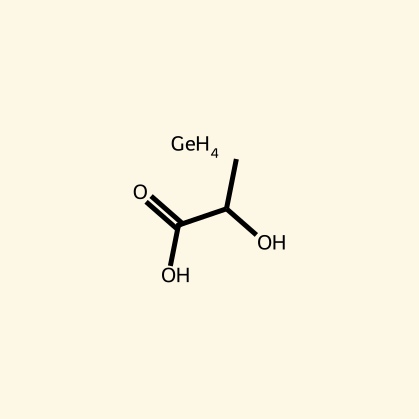 CC(O)C(=O)O.[GeH4]